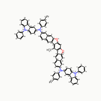 Cc1c2c(cc3oc4cc5cc(N(c6ccc(C(C)C)cc6)c6ccc7c(c6)c6ccccc6n7-c6ccccc6)ccc5cc4c13)oc1cc3cc(N(c4ccc(C(C)C)cc4)c4ccc5c(c4)c4ccccc4n5-c4ccccc4)ccc3cc12